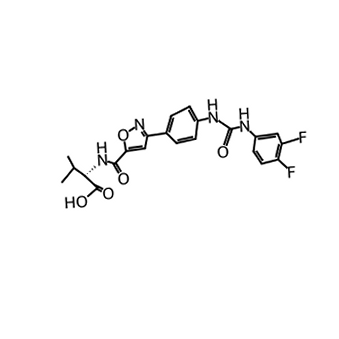 CC(C)[C@H](NC(=O)c1cc(-c2ccc(NC(=O)Nc3ccc(F)c(F)c3)cc2)no1)C(=O)O